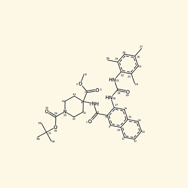 COC(=O)C1(NC(=O)c2cc3ccccc3cc2NC(=O)Nc2c(C)cc(C)cc2C)CCN(C(=O)OC(C)(C)C)CC1